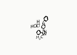 Cc1nnn(C2CCN(Cc3ccccc3)CC2)c1-c1ccccc1.Cl.Cl